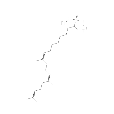 CCOP(=O)(OCC)C(CCCCCCC=C(C)CCC=C(C)CCC=C(C)C)S(=O)(=O)O